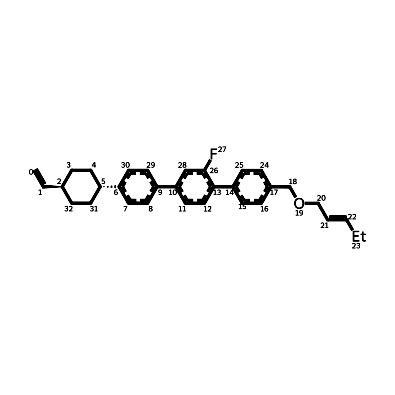 C=C[C@H]1CC[C@H](c2ccc(-c3ccc(-c4ccc(COC/C=C/CC)cc4)c(F)c3)cc2)CC1